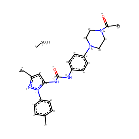 CS(=O)(=O)O.Cc1ccc(-n2nc(C(C)(C)C)cc2NC(=O)Nc2ccc(N3CCN(C(=O)C(C)C)CC3)cc2)cc1